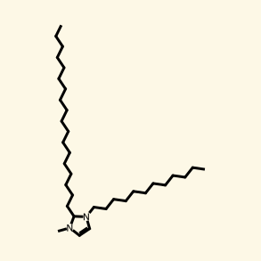 CCCCCCCCCCCCCCCCCCC1N(C)C=CN1CCCCCCCCCCCC